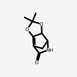 CC1(C)OC2=C3CC(NC3=O)C2O1